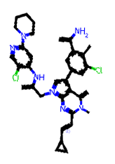 C=C(Cn1cc(-c2cc(Cl)c(C)c(C(=C)N)c2)c2c1N=C(/C=C/C1CC1)N(C)C2=C)Nc1cc(N2CCCCC2)ncc1Cl